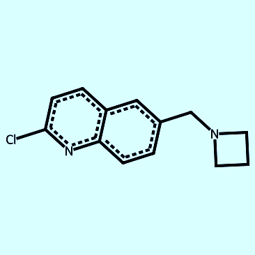 Clc1ccc2cc(CN3CCC3)ccc2n1